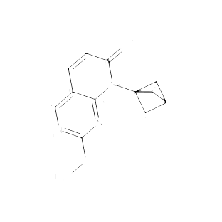 CSc1ncc2ccc(=O)n(C34CC(C3)C4)c2n1